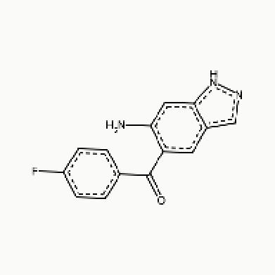 Nc1cc2[nH]ncc2cc1C(=O)c1ccc(F)cc1